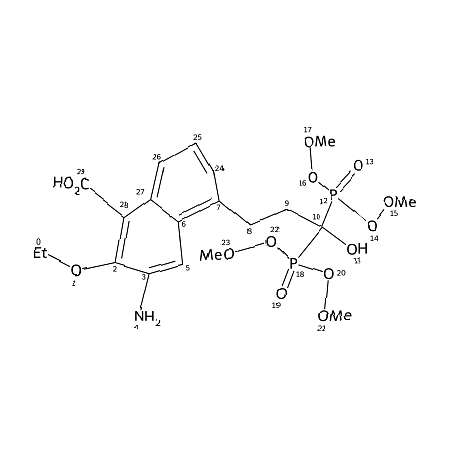 CCOc1c(N)cc2c(CCC(O)(P(=O)(OOC)OOC)P(=O)(OOC)OOC)cccc2c1C(=O)O